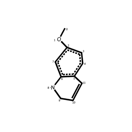 COc1ccc2c(c1)[N]CC=C2